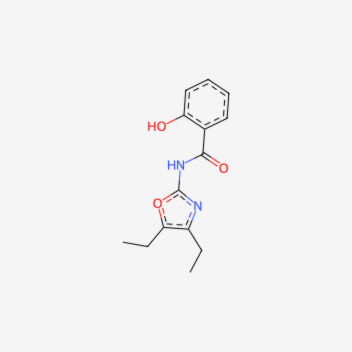 CCc1nc(NC(=O)c2ccccc2O)oc1CC